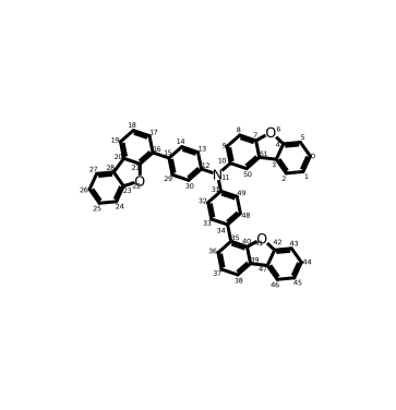 c1ccc2c(c1)oc1ccc(N(c3ccc(-c4cccc5c4oc4ccccc45)cc3)c3ccc(-c4cccc5c4oc4ccccc45)cc3)cc12